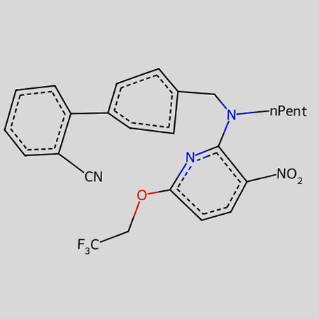 CCCCCN(Cc1ccc(-c2ccccc2C#N)cc1)c1nc(OCC(F)(F)F)ccc1[N+](=O)[O-]